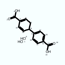 Cl.Cl.O=C(O)C1=CCC(c2ccc(C(=O)O)cc2)C=C1